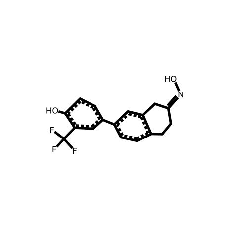 O/N=C1/CCc2ccc(-c3ccc(O)c(C(F)(F)F)c3)cc2C1